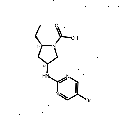 CC[C@@H]1C[C@H](Nc2ncc(Br)cn2)CN1C(=O)O